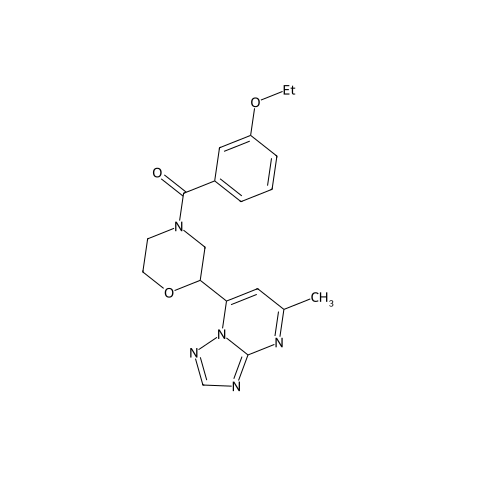 CCOc1cccc(C(=O)N2CCOC(c3cc(C)nc4ncnn34)C2)c1